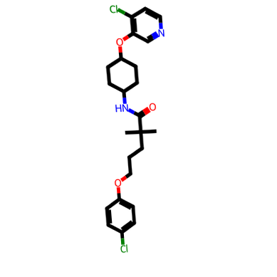 CC(C)(CCCOc1ccc(Cl)cc1)C(=O)NC1CCC(Oc2cnccc2Cl)CC1